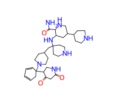 NC(=O)C1NCC(C2CCNCC2)CC1NC1(CC2CCN(C3(C4CNC(=O)CC4=O)C=CC=CC3)CC2)CCNCC1